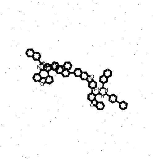 c1ccc(-c2ccc(C3=NC(c4ccc5ccccc5c4)NC(c4c(-c5ccc6oc7cc8ccc(-c9ccc%10cc%11c(cc%10c9)oc9cccc(-c%10cccc%12oc%13cccc(-c%14nc(-c%15ccc(-c%16ccccc%16)cc%15)nc(-c%15ccc%16ccccc%16c%15)n%14)c%13c%10%12)c9%11)cc8cc7c6c5)ccc5oc6ccccc6c45)=N3)cc2)cc1